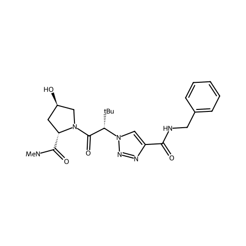 CNC(=O)[C@@H]1C[C@@H](O)CN1C(=O)[C@@H](n1cc(C(=O)NCc2ccccc2)nn1)C(C)(C)C